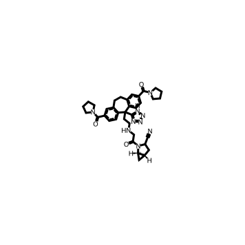 N#CC1C[C@@H]2C[C@@H]2N1C(=O)CNCCC1(c2nnn[nH]2)c2ccc(C(=O)N3CCCC3)cc2CCc2cc(C(=O)N3CCCC3)ccc21